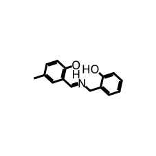 Cc1ccc(O)c(/C=N/Cc2ccccc2O)c1